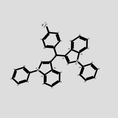 FC(F)(F)c1ccc(C(c2cn(-c3ccccc3)c3ccccc23)c2cn(-c3ccccc3)c3ccccc23)cc1